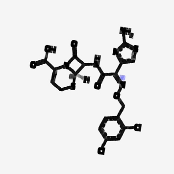 Nc1nc(/C(=N/OCc2ccc(Cl)cc2Cl)C(=O)NC2C(=O)N3C(C(=O)O)=CCS[C@H]23)cs1